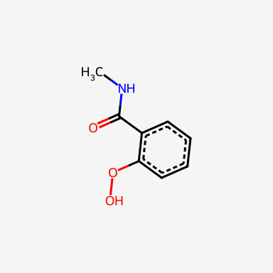 CNC(=O)c1ccccc1OO